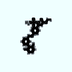 CCOC(=O)CC(NS(N)(=O)=O)c1ccc(OCc2cccc(-c3c(C)cccc3C)c2)cc1